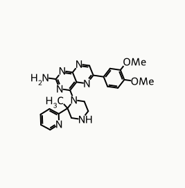 COc1ccc(-c2cnc3nc(N)nc(N4CCNCC4(C)c4ccccn4)c3n2)cc1OC